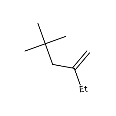 C=C(CC)CC(C)(C)C